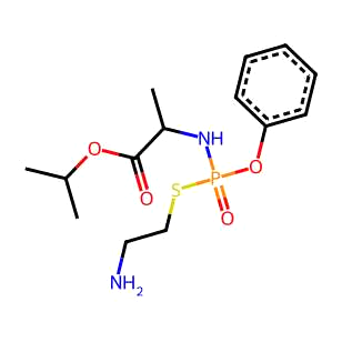 CC(C)OC(=O)C(C)NP(=O)(Oc1ccccc1)SCCN